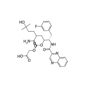 CC(C)(O)CCC(CC(OC(=O)OCC(=O)O)[C@H](Cc1cccc(F)c1)NC(=O)c1cnc2ccccc2n1)C(N)=O